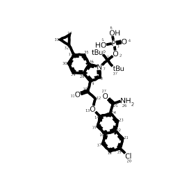 CC(C)(C)C(OP(=O)(O)O)(n1cc(C(=O)COc2cc3ccc(Cl)cc3cc2C(N)=O)c2ccc(C3CC3)cc21)C(C)(C)C